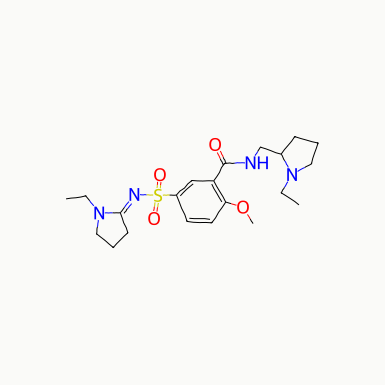 CCN1CCCC1=NS(=O)(=O)c1ccc(OC)c(C(=O)NCC2CCCN2CC)c1